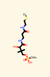 CCSCCNC(=O)CCNC(=O)C(O)C(C)(C)COP(=O)(O)OC